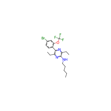 CCCCCNc1nc(CC)c(-c2ccc(Br)cc2OC(F)(F)F)nc1CC